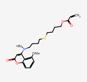 C=CC(=O)OCCCCSCCCCN(CCCC)c1cc(=O)oc2cccc(OC)c12